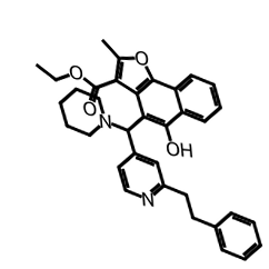 CCOC(=O)c1c(C)oc2c1c(C(c1ccnc(CCc3ccccc3)c1)N1CCCCC1)c(O)c1ccccc12